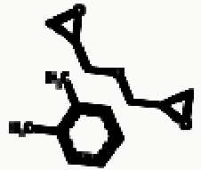 C(OCC1CO1)C1CO1.Cc1ccccc1C